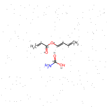 C=CC=COC(=O)C=C.NC(=O)O